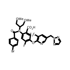 COCC(COC)N(C(=O)c1ccc(Br)cc1)c1cc(F)c(Oc2ncc(Cn3nccn3)cc2C(F)(F)F)cc1C(=O)O